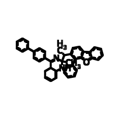 C[C@@H](c1ccc2c(oc3ccccc32)c1-c1ccccc1)C1(C)N=C(c2ccc(-c3ccccc3)cc2)C2CC=CC=C2N1